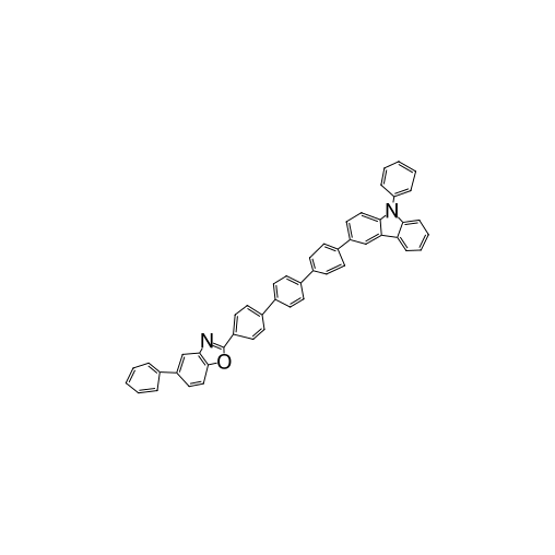 c1ccc(-c2ccc3oc(-c4ccc(-c5ccc(-c6ccc(-c7ccc8c(c7)c7ccccc7n8-c7ccccc7)cc6)cc5)cc4)nc3c2)cc1